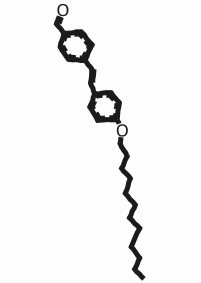 CCCCCCCCCCCCOc1ccc(/C=C/c2ccc(C=O)cc2)cc1